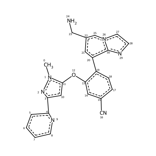 Cn1nc(-c2ccccn2)cc1Oc1cc(C#N)ccc1-c1cc(CN)cn2ccnc12